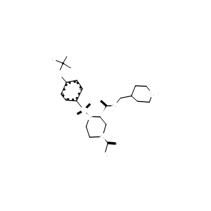 CC(=O)N1CCN(S(=O)(=O)c2ccc(OC(F)(F)F)cc2)[C@@H](C(=O)NCC2CCNCC2)C1